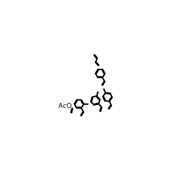 C=CC=C.C=COC(C)=O.C=Cc1ccc(C)cc1.C=Cc1cccc(C)c1.C=Cc1ccccc1.C=Cc1ccccc1C